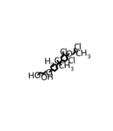 C[C@@H](CCl)COc1c(Cl)cc(C(C)(C)c2ccc(OC[C@H](O)CO)cc2)cc1Cl